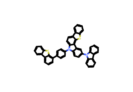 c1ccc2c(c1)sc1c(-c3ccc(-n4c5ccc(-n6c7ccccc7c7ccccc76)cc5c5c6sc7ccccc7c6ccc54)cc3)cccc12